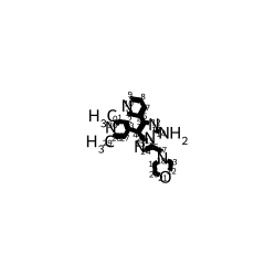 Cc1cc(-c2c(-c3cccnc3)nc(N)n3c(CN4CCOCC4)cnc23)cc(C)n1